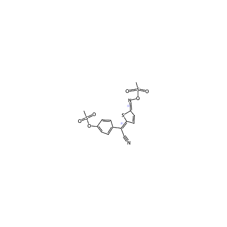 CS(=O)(=O)O/N=C1C=C/C(=C(\C#N)c2ccc(OS(C)(=O)=O)cc2)S\1